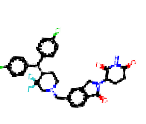 O=C1CCC(N2Cc3cc(CN4CC[C@H](C(c5ccc(Cl)cc5)c5ccc(Cl)cc5)C(F)(F)C4)ccc3C2=O)C(=O)N1